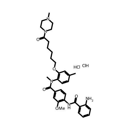 COc1cc(C(=O)N(C)c2ccc(C)cc2OCCCCCC(=O)N2CCN(C)CC2)ccc1NC(=O)c1ccccc1N.Cl.Cl